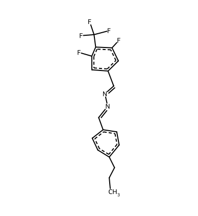 CCCc1ccc(C=NN=Cc2cc(F)c(C(F)(F)F)c(F)c2)cc1